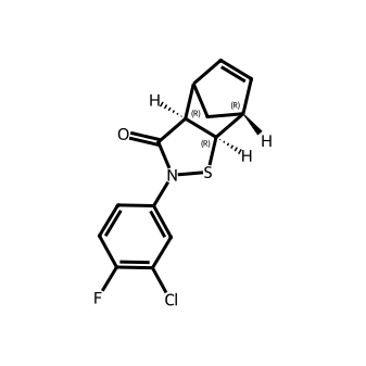 O=C1[C@H]2C3C=C[C@@H](C3)[C@H]2SN1c1ccc(F)c(Cl)c1